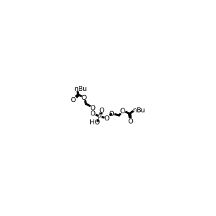 CCCCC(=O)OCOOP(=O)(O)OOCOC(=O)CCCC